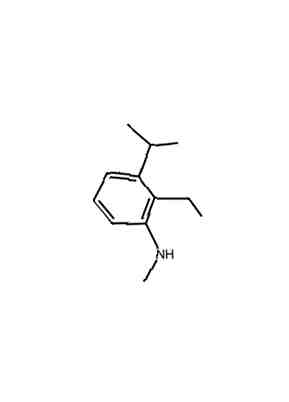 CCc1c(NC)cccc1C(C)C